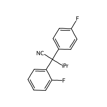 CC(C)C(C#N)(c1ccc(F)cc1)c1ccccc1F